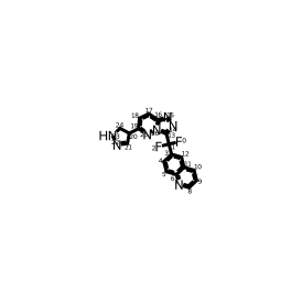 FC(F)(c1ccc2ncccc2c1)c1nnc2ccc(C3C=NNC3)nn12